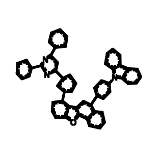 c1ccc(-c2cc(-c3cccc(-c4cccc5oc6c7ccccc7c(-c7ccc(-n8c9ccccc9c9ccccc98)cc7)cc6c45)c3)nc(-c3ccccc3)n2)cc1